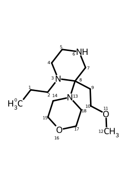 CCCN1CCNCC1(CCOC)N1CCOCC1